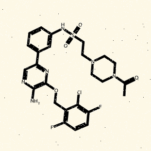 CC(=O)N1CCN(CCS(=O)(=O)Nc2cccc(-c3cnc(N)c(OCc4c(F)ccc(F)c4Cl)n3)c2)CC1